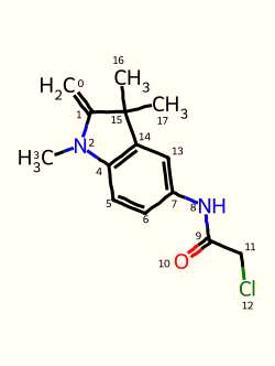 C=C1N(C)c2ccc(NC(=O)CCl)cc2C1(C)C